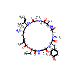 C/C=C(\C)[C@H]1NC(=O)[C@@H](C)NC(=O)C(C(C)CC)NC(=O)CN(C)C(=O)[C@@H](Cc2ccc(O)cc2)N(C)C(=O)[C@H](C)NC(=O)[C@@H](CC(C)C)OC(=O)/C(C)=C/C[C@H](N)[C@@H]1C